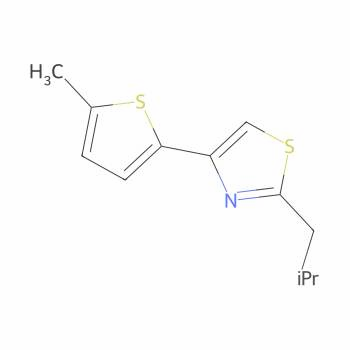 Cc1ccc(-c2csc(CC(C)C)n2)s1